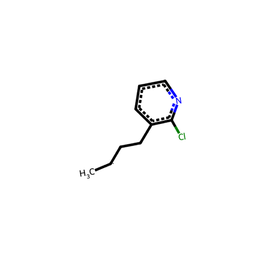 C[CH]CCc1cccnc1Cl